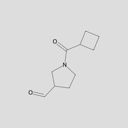 O=CC1CCN(C(=O)C2CCC2)C1